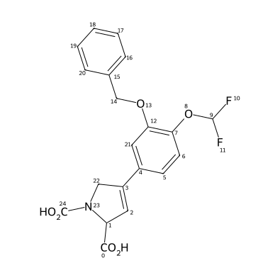 O=C(O)C1C=C(c2ccc(OC(F)F)c(OCc3ccccc3)c2)CN1C(=O)O